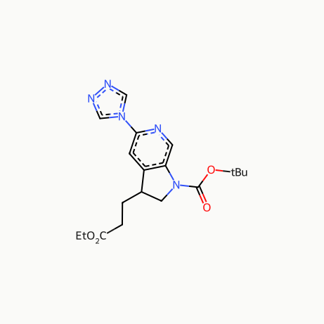 CCOC(=O)CCC1CN(C(=O)OC(C)(C)C)c2cnc(-n3cnnc3)cc21